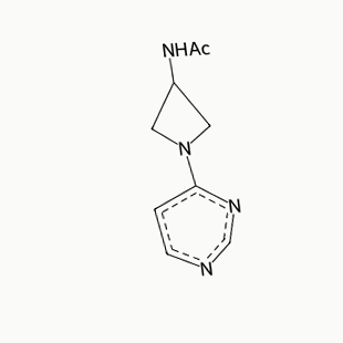 CC(=O)NC1CN(c2ccncn2)C1